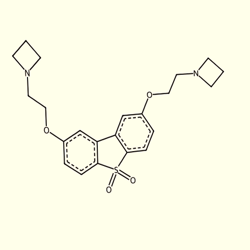 O=S1(=O)c2ccc(OCCN3CCC3)cc2-c2cc(OCCN3CCC3)ccc21